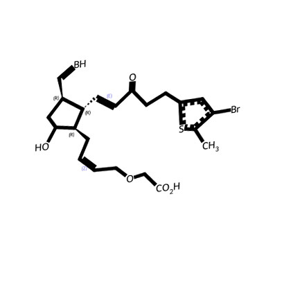 B=C[C@@H]1CC(O)[C@H](C/C=C\COCC(=O)O)[C@H]1/C=C/C(=O)CCc1cc(Br)c(C)s1